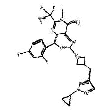 Cn1c(C(F)(F)F)nc2c(-c3ccc(F)cc3F)nc(N3CC(Cc4cnn(C5CC5)c4)C3)nc2c1=O